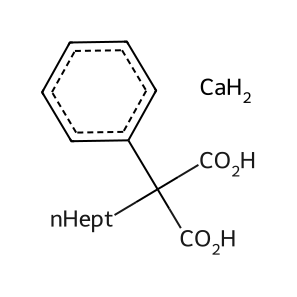 CCCCCCCC(C(=O)O)(C(=O)O)c1ccccc1.[CaH2]